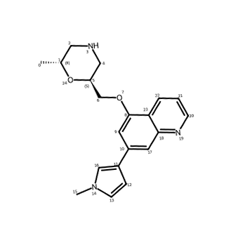 C[C@@H]1CNC[C@@H](COc2cc(-c3ccn(C)c3)cc3ncccc23)O1